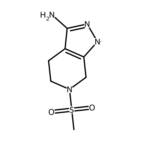 CS(=O)(=O)N1CCC2=C(C1)[N]N=C2N